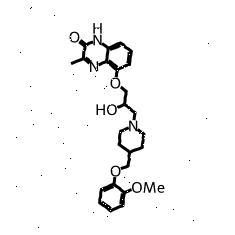 COc1ccccc1OCC1CCN(CC(O)COc2cccc3[nH]c(=O)c(C)nc23)CC1